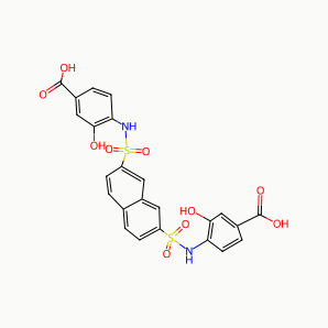 O=C(O)c1ccc(NS(=O)(=O)c2ccc3ccc(S(=O)(=O)Nc4ccc(C(=O)O)cc4O)cc3c2)c(O)c1